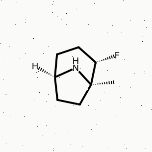 C[C@@]12CC[C@@H](CC[C@@H]1F)N2